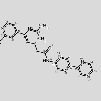 CC(C)=N/C(=C\CCC(=O)Nc1ccc(-c2cnccn2)cn1)c1ccnc(C(F)(F)F)c1